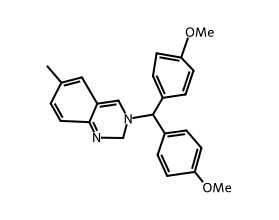 COc1ccc(C(c2ccc(OC)cc2)N2C=c3cc(C)ccc3=NC2)cc1